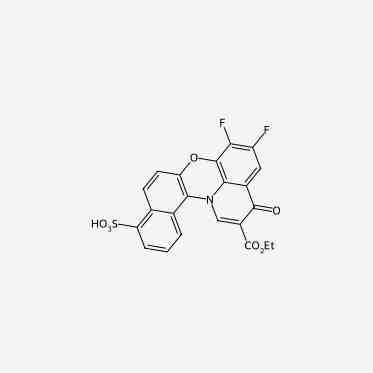 CCOC(=O)c1cn2c3c(c(F)c(F)cc3c1=O)Oc1ccc3c(S(=O)(=O)O)cccc3c1-2